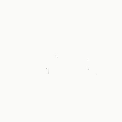 O=[N+]([O-])c1cccc(C2Nc3cccc4cccc(c34)N2)c1